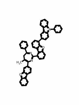 CC1=C(c2ccc3c(c2)oc2ccccc23)N=C(c2cccc3oc4c(-c5ccc6c(c5)c5ccccc5n6-c5ccccc5)cccc4c23)N=C(c2ccccc2)C1